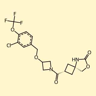 O=C1N[C@]2(CO1)C[C@@H](C(=O)N1CC(OCc3ccc(OC(F)(F)F)c(Cl)c3)C1)C2